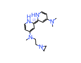 CN(C)C1=C/C(=C2\C=C(N(C)CCN3CC3)C=CN2)NC=C1